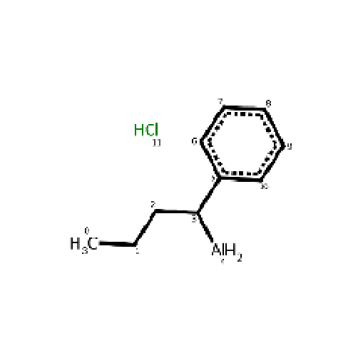 CCC[CH]([AlH2])c1ccccc1.Cl